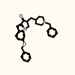 O=C1c2cc3ccc(OCc4ccccc4)cc3n2CC1CC1CCN(Cc2ccccc2)CC1